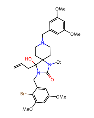 C=CCC1(O)N(Cc2cc(OC)cc(OC)c2Br)C(=O)N(CC)C12CCN(Cc1cc(OC)cc(OC)c1)CC2